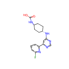 O=C(O)N[C@H]1CC[C@H](Nc2cc(-c3cccc(F)n3)ncn2)CC1